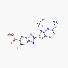 C=CC(F)(F)Cn1c(-c2nc3cc(C(=O)OC)c(F)cc3n2C)cc2ccc([C@@H](C)N)nc21